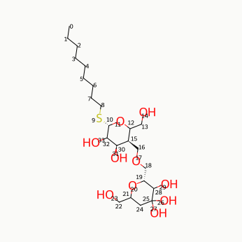 CCCCCCCCCS[C@@H]1OC(CO)[C@@H](COC[C@H]2OC(CO)CC(O)(O)C2O)[C@@H](O)C1O